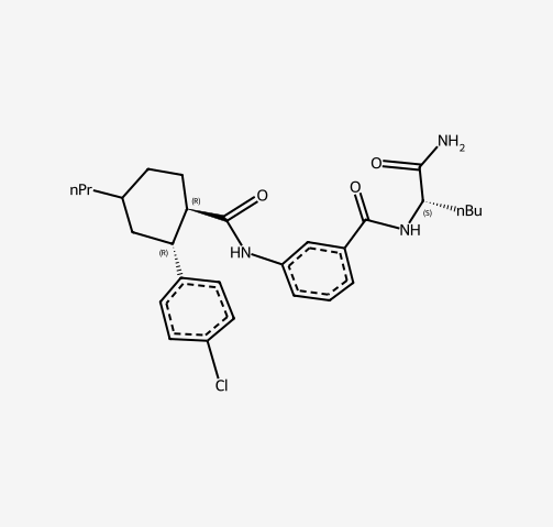 CCCC[C@H](NC(=O)c1cccc(NC(=O)[C@@H]2CCC(CCC)C[C@H]2c2ccc(Cl)cc2)c1)C(N)=O